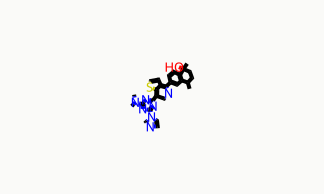 CC1CCC(C)(O)c2ccc(-c3ncc(-c4nc(N(C)C)nc(-n5ccnc5)n4)c4sccc34)cc21